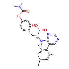 Cc1cc(C)c(-c2cncnc2N[C@@H](Cc2ccc(OC(=O)N(C)C)cc2)C(=O)O)c(C)c1